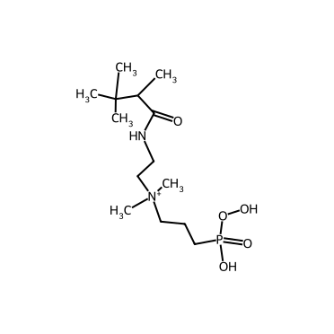 CC(C(=O)NCC[N+](C)(C)CCCP(=O)(O)OO)C(C)(C)C